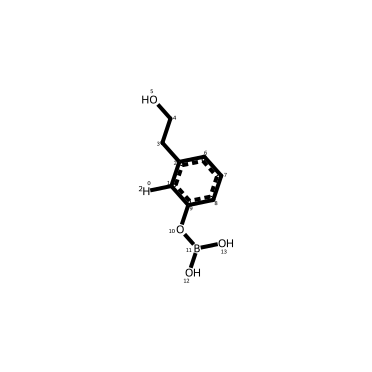 [2H]c1c(CCO)cccc1OB(O)O